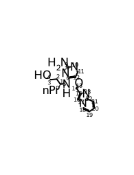 CCC[C@@H](CCO)Nc1nc(N)ncc1OCc1cn2ccccc2n1